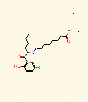 CCCCC(NCCCCCCCC(=O)O)C(=O)c1cc(Cl)ccc1O